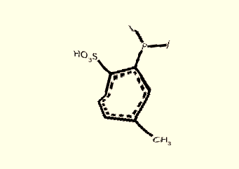 Cc1ccc(S(=O)(=O)O)c(P(I)I)c1